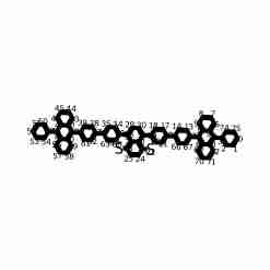 c1ccc(-c2c3ccccc3c(-c3ccc(-c4ccc5c(c4)Sc4ccc6c7c(ccc-5c47)-c4ccc(-c5ccc(-c7c8ccccc8c(-c8ccccc8)c8ccccc78)cc5)cc4S6)cc3)c3ccccc23)cc1